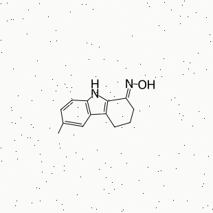 Cc1ccc2[nH]c3c(c2c1)CCCC3=NO